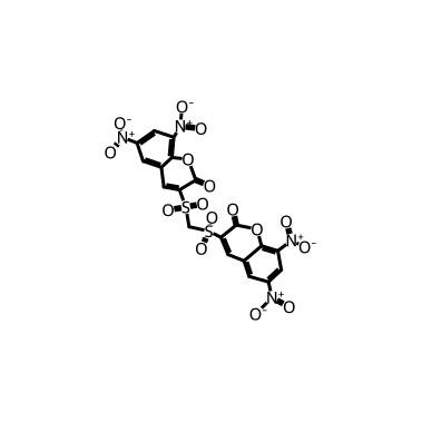 O=c1oc2c([N+](=O)[O-])cc([N+](=O)[O-])cc2cc1S(=O)(=O)CS(=O)(=O)c1cc2cc([N+](=O)[O-])cc([N+](=O)[O-])c2oc1=O